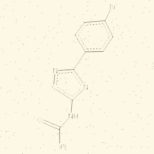 CC(C)C(=O)Nc1nc(-c2ccc(Br)cc2)ns1